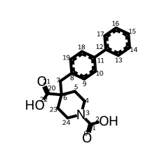 O=C(O)N1CCC(Cc2ccc(-c3ccccc3)cc2)(C(=O)O)CC1